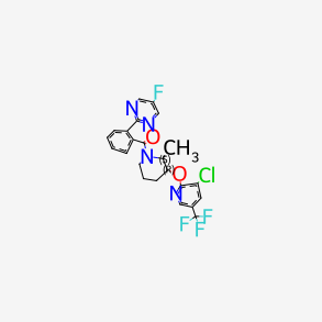 C[C@H]1[C@H](Oc2ncc(C(F)(F)F)cc2Cl)CCCN1C(=O)c1ccccc1-c1ncc(F)cn1